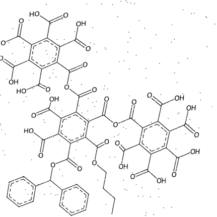 CCCCOC(=O)c1c(C(=O)OC(c2ccccc2)c2ccccc2)c(C(=O)O)c(C(=O)O)c(C(=O)OC(=O)c2c(C(=O)O)c(C(=O)O)c(C(=O)O)c(C(=O)O)c2C(=O)O)c1C(=O)OC(=O)c1c(C(=O)O)c(C(=O)O)c(C(=O)O)c(C(=O)O)c1C(=O)O